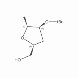 C[C@@H]1O[C@H](CO)C[C@@H]1OC(C)(C)C